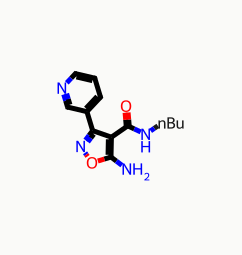 CCCCNC(=O)c1c(-c2cccnc2)noc1N